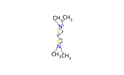 CCCCN(CCCC)c1ccc(/C=C2\C=CC(=[N+](CCCC)CCCC)S2)s1